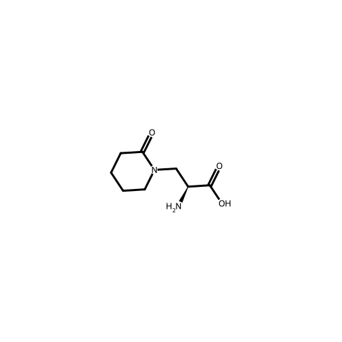 N[C@@H](CN1CCCCC1=O)C(=O)O